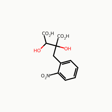 O=C(O)C(O)C(O)(Cc1ccccc1[N+](=O)[O-])C(=O)O